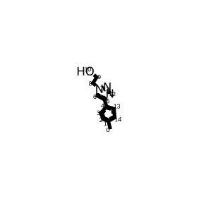 Cc1ccc(-c2cn(CCO)nn2)cc1